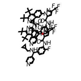 CC(C)(C)c1nc(N(C(=O)O)c2nc(C(C)(C)C)c(C(C)(C)C)c3ccc(-n4nc(C(F)(F)F)cc4C(=O)Nc4cc(C(NCC5CC5)c5ccncc5)ccc4F)cc23)c2cc(-n3nc(C(F)(F)F)cc3C(=O)Nc3cc(C(NCC4CC4)c4ccncc4)ccc3F)ccc2c1C(C)(C)C